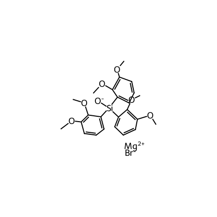 COc1cccc([Si]([O-])(c2cccc(OC)c2OC)c2cccc(OC)c2OC)c1OC.[Br-].[Mg+2]